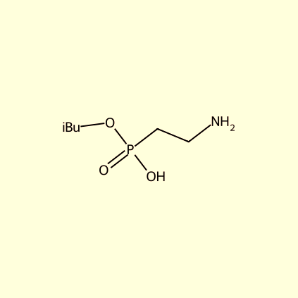 CCC(C)OP(=O)(O)CCN